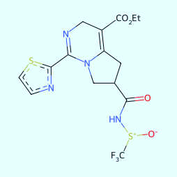 CCOC(=O)C1=C2CC(C(=O)N[S+]([O-])C(F)(F)F)CN2C(c2nccs2)=NC1